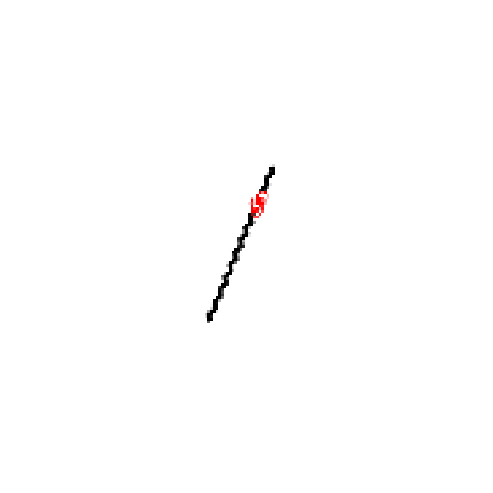 CCCCCCCCCCCCCCCCCCOOOCCCCC